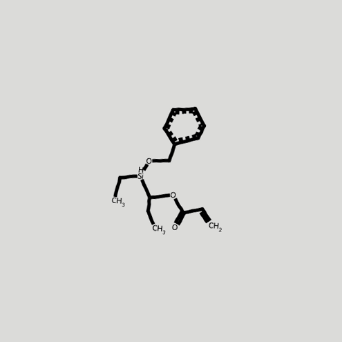 C=CC(=O)OC(CC)[SiH](CC)OCc1ccccc1